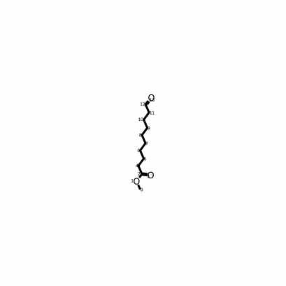 COC(=O)CCCCCCCC[C]=O